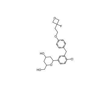 OCC1CC(O)CC(c2ccc(Cl)c(Cc3ccc(OCCC4(F)COC4)cc3)c2)O1